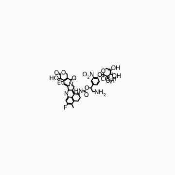 CC[C@]1(O)C(=O)OCc2c1cc1n(c2=O)Cc2c-1nc1cc(F)c(C)c3c1c2[C@H](NC(=O)OC(CN)c1ccc(O[C@@]2(C(=O)O)OC[C@H](O)[C@H](O)[C@H]2O)c([N+](=O)[O-])c1)CC3